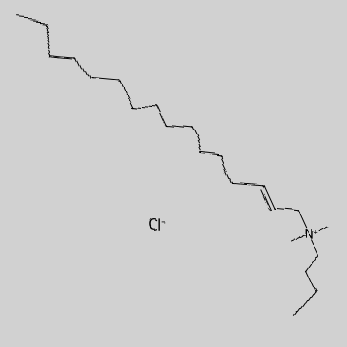 CCCCCCCCCCCCCC=CC[N+](C)(C)CCCC.[Cl-]